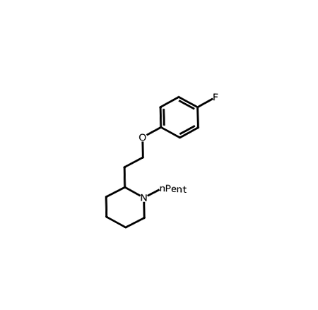 CCCCCN1CCCCC1CCOc1ccc(F)cc1